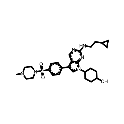 CN1CCN(S(=O)(=O)c2ccc(-c3cn(C4CCC(O)CC4)c4nc(NCCC5CC5)ncc34)cc2)CC1